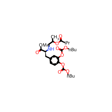 CCCCOC(=O)Oc1ccc(C[C@H](NCC(C)OC(=O)C(C)C)C(=O)OC)cc1OC(=O)OCCCC